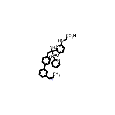 C/C=C\c1cccc(-c2ccc(CC(N)(c3cccc(NCC(=O)O)n3)S(=O)(=O)c3ccccn3)cc2)c1